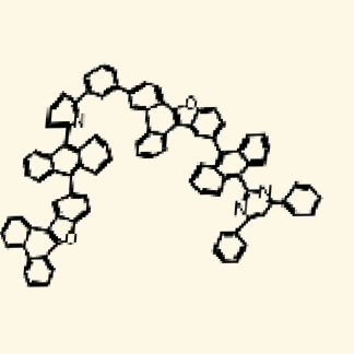 c1ccc(-c2cc(-c3ccccc3)nc(-c3c4ccccc4c(-c4ccc5oc6c7ccc(-c8cccc(-c9cccc(-c%10c%11ccccc%11c(-c%11ccc%12oc%13c%14ccccc%14c%14ccccc%14c%13c%12c%11)c%11ccccc%10%11)n9)c8)cc7c7ccccc7c6c5c4)c4ccccc34)n2)cc1